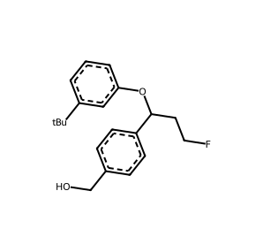 CC(C)(C)c1cccc(OC(CCF)c2ccc(CO)cc2)c1